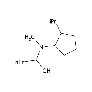 CCCC(O)N(C)C1CCCC1C(C)C